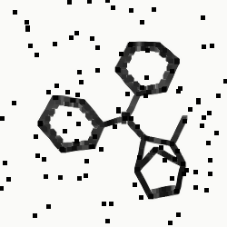 CC1C2C=CC(C2)C1P(c1ccccc1)c1ccccc1